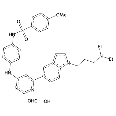 CCN(CC)CCCn1ccc2cc(-c3cc(Nc4ccc(NS(=O)(=O)c5ccc(OC)cc5)cc4)ncn3)ccc21.O=CO